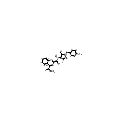 Cc1nn(Cc2ccc(F)cc2)c(C)c1N(C)C(=O)c1cc(C(N)=O)c2ccccc2n1